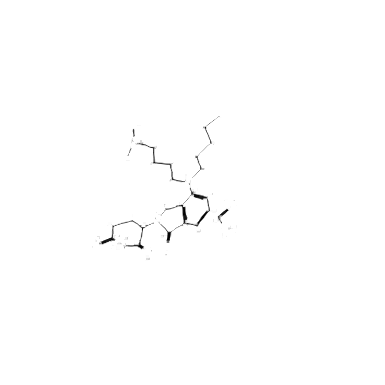 CCCCCN(CCCCN(C)C)c1cccc2c1CN(C1CCC(=O)NC1=O)C2=O.O=CO